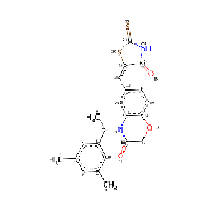 Cc1cc(C)cc(C(C)N2C(=O)COc3ccc(C=C4SC(=S)NC4=O)cc32)c1